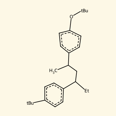 CCC(CC(C)c1ccc(OC(C)(C)C)cc1)c1ccc(C(C)(C)C)cc1